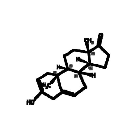 C[C@]12CC=C(O)CC1=CC[C@@H]1[C@@H]2CC[C@]2(C)C(=O)CC[C@@H]12